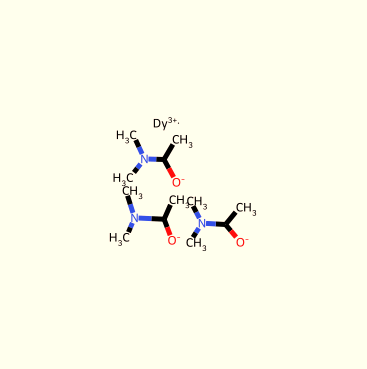 CC([O-])N(C)C.CC([O-])N(C)C.CC([O-])N(C)C.[Dy+3]